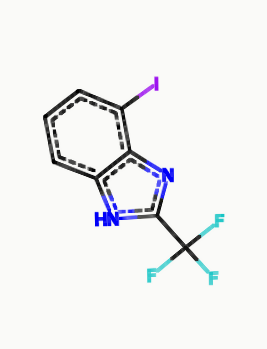 FC(F)(F)c1nc2c(I)cccc2[nH]1